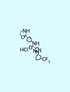 Cl.O=C(Nc1ccc([C@H]2CNCCO2)cc1)c1cnn(-c2cccc(C(F)(F)F)c2)n1